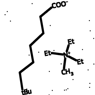 CC(C)(C)CCCCCC(=O)[O-].CC[N+](C)(CC)CC